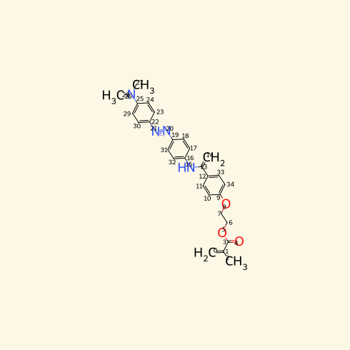 C=C(C)C(=O)OCCOc1ccc(C(=C)Nc2ccc(/N=N/c3ccc(N(C)C)cc3)cc2)cc1